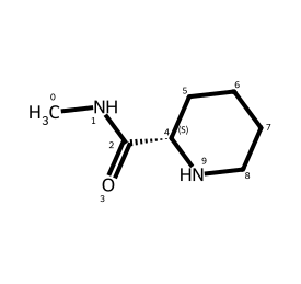 CNC(=O)[C@@H]1CCCCN1